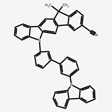 CC1(C)c2ccc(C#N)cc2-c2cc3c(cc21)c1ccccc1n3-c1cccc(-c2cccc(-n3c4ccccc4c4ccccc43)c2)c1